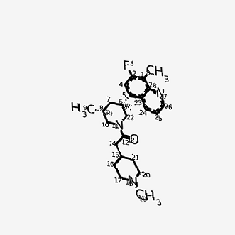 Cc1c(F)cc([C@H]2C[C@@H](C)CN(C(=O)CC3CCN(C)CC3)C2)c2cccnc12